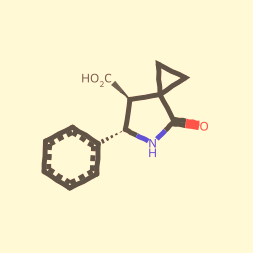 O=C(O)[C@@H]1[C@@H](c2ccccc2)NC(=O)C12CC2